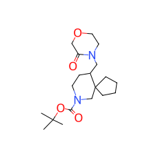 CC(C)(C)OC(=O)N1CCC(CN2CCOCC2=O)C2(CCCC2)C1